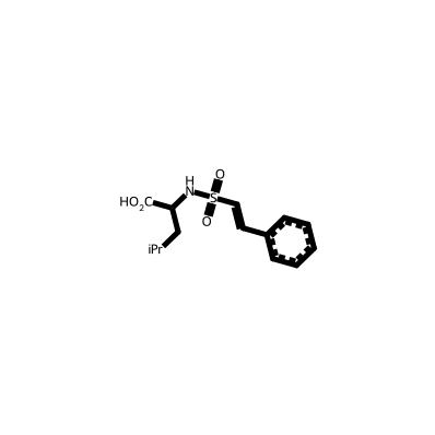 CC(C)CC(NS(=O)(=O)C=Cc1ccccc1)C(=O)O